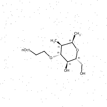 CCCCCCCCCCO[C@@H]1[C@@H](C)[C@@H](C)O[C@H](CO)[C@H]1O